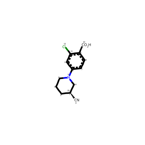 N#C[C@H]1CCCN(c2ccc(C(=O)O)c(Cl)c2)C1